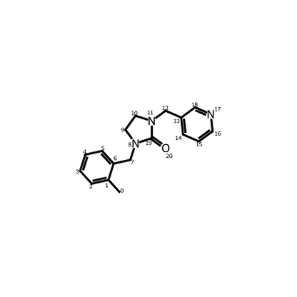 Cc1ccccc1CN1CCN(Cc2cccnc2)C1=O